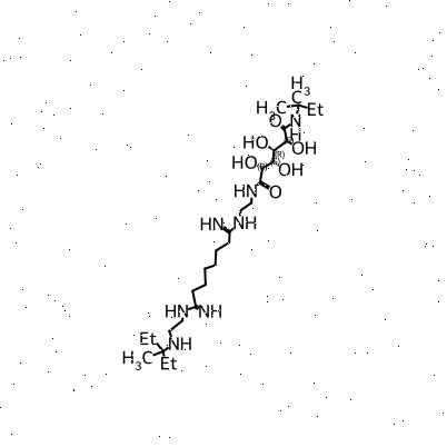 CCC(C)(C)NC(=O)[C@@H](O)[C@H](O)[C@H](O)[C@@H](O)C(=O)NCCNC(=N)CCCCCCC(=N)NCCNC(C)(CC)CC